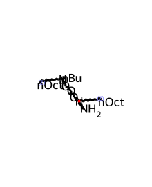 CCCCCCCC/C=C\CCCCCCCCN(CCCC)CCOCCOCCOCCN(CCCN)CCCCCCCC/C=C\CCCCCCCC